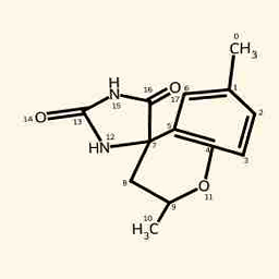 Cc1ccc2c(c1)C1(CC(C)O2)NC(=O)NC1=O